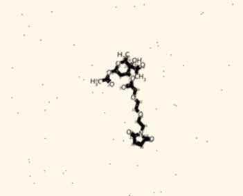 CC(=O)OC1CC(OC(=O)COCCOCCN2C(=O)C=CC2=O)C(O)(C(C)=O)C(C)O1